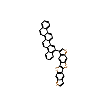 c1ccc2c(c1)ccc1c2ccc2c3cc(-c4csc5cc6sc7c8cc9ccsc9cc8sc7c6cc45)c4ccccc4c3ccc12